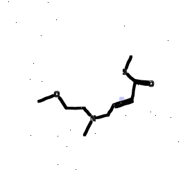 COCCN(C)C/C=C/C(=O)SC